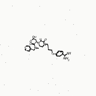 CN(Cc1ccccc1)C(=O)C(CC(=O)O)N1CCN(CCCOc2ccc(C(=N)N)cc2)C(=O)C1=O